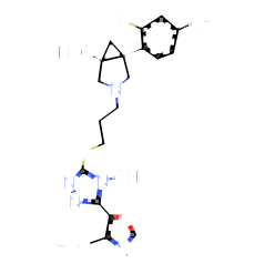 Cc1ncoc1-c1nnc(SCCCN2C[C@]3(C)C[C@]3(c3ccc(C(F)(F)F)cc3F)C2)n1C